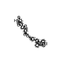 O=C1CC[C@H](N2Cc3c(ccc4c3OCC43CCN(C(=O)COCCN4CCC(c5ccc6c(c5)C5(CCCCC5)c5nc(=O)c7c(Cl)cccc7n5-6)CC4)CC3)C2=O)C(=O)N1